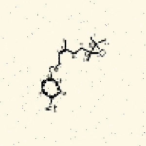 CCc1ccc(OCC=C(C)CCC2(C)OC2(C)C)cc1